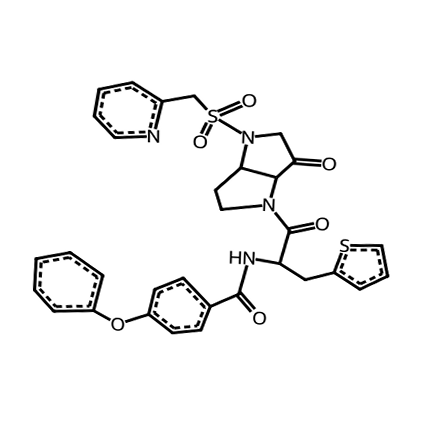 O=C(NC(Cc1cccs1)C(=O)N1CCC2C1C(=O)CN2S(=O)(=O)Cc1ccccn1)c1ccc(Oc2ccccc2)cc1